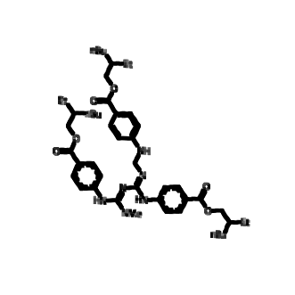 CCCCC(CC)COC(=O)C1=C=C=C(NC/N=C(\N=C(/NC)Nc2ccc(C(=O)OCC(CC)CCCC)cc2)Nc2ccc(C(=O)OCC(CC)CCCC)cc2)C=C1